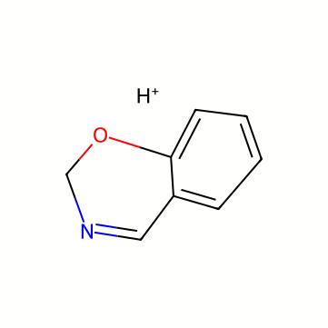 C1=NCOc2ccccc21.[H+]